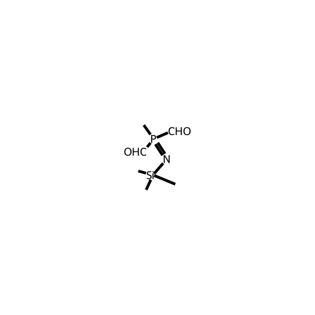 C[Si](C)(C)N=P(C)(C=O)C=O